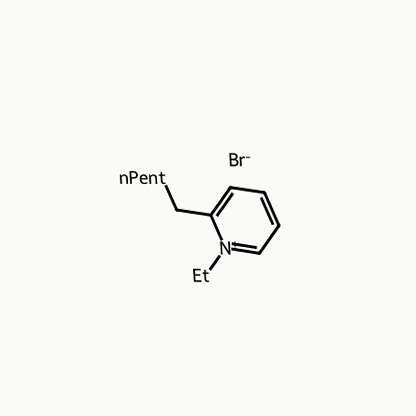 CCCCCCc1cccc[n+]1CC.[Br-]